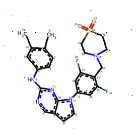 Cc1ccc(Nc2ncc3ccn(-c4cc(F)c(CN5CCS(=O)(=O)CC5)c(F)c4)c3n2)cc1C